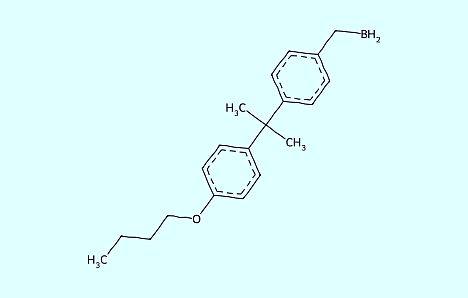 BCc1ccc(C(C)(C)c2ccc(OCCCC)cc2)cc1